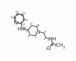 CC(=O)NCCN1CCC(Nc2ccccn2)CC1